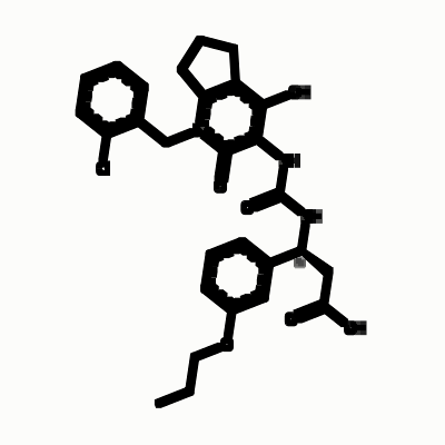 CCCOc1cccc([C@H](CC(=O)O)NC(=O)Nc2c(O)c3c(n(Cc4ccccc4Cl)c2=O)CCC3)c1